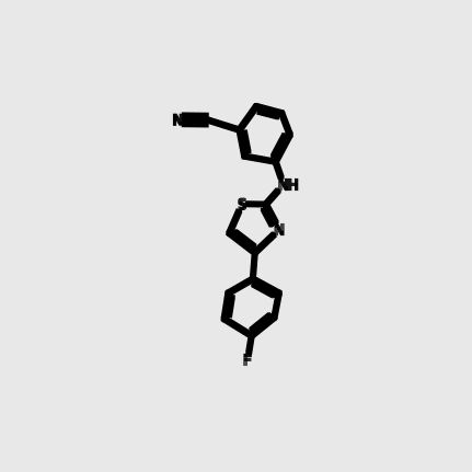 N#Cc1cccc(Nc2nc(-c3ccc(F)cc3)cs2)c1